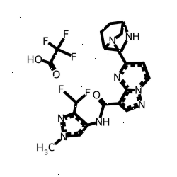 Cn1cc(NC(=O)c2cnn3ccc(N4CC5CCC4CN5)nc23)c(C(F)F)n1.O=C(O)C(F)(F)F